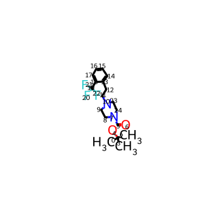 CC(C)(C)OC(=O)N1CCN(CCc2ccccc2C(F)(F)F)CC1